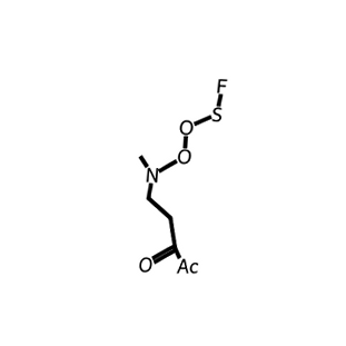 CC(=O)C(=O)CCN(C)OOSF